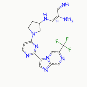 N=C/C(N)=C\NC1CCN(c2ccnc(-c3cnc4cnc(C(F)(F)F)cn34)n2)C1